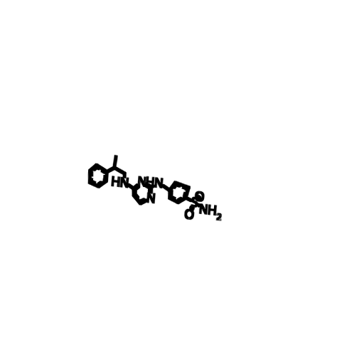 CC(CNc1ccnc(Nc2ccc(S(N)(=O)=O)cc2)n1)c1ccccc1